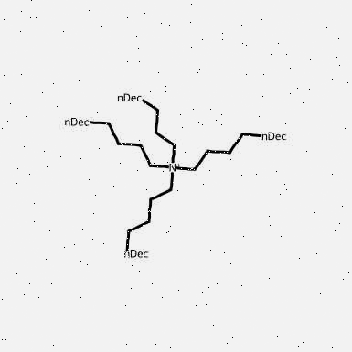 CCCCCCCCCCCCCC[N+](CCCCCCCCCCCCC)(CCCCCCCCCCCCCC)CCCCCCCCCCCCCC